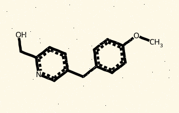 COc1ccc(Cc2ccc(CO)nc2)cc1